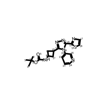 CC(C)(C)OC(=O)NC1CC(c2nnc(-c3nccs3)n2-c2cccnc2)C1